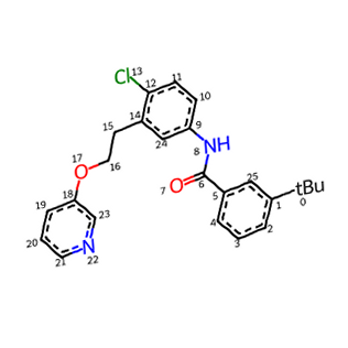 CC(C)(C)c1cccc(C(=O)Nc2ccc(Cl)c(CCOc3cccnc3)c2)c1